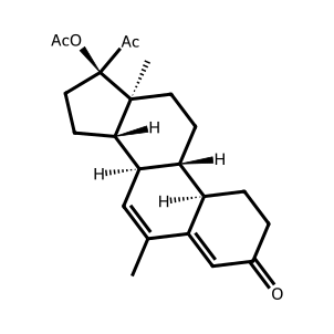 CC(=O)O[C@]1(C(C)=O)CC[C@H]2[C@@H]3C=C(C)C4=CC(=O)CC[C@@H]4[C@H]3CC[C@@]21C